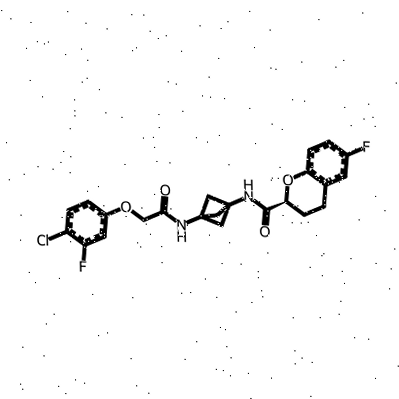 O=C(COc1ccc(Cl)c(F)c1)NC12CC(NC(=O)[C@@H]3CCc4cc(F)ccc4O3)(C1)C2